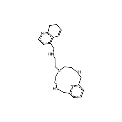 C1=Cc2c(CNCCN3CCNCc4cccc(n4)CNCC3)ccnc2CC1